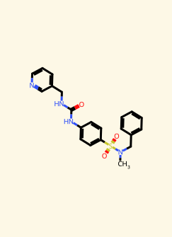 CN(Cc1ccccc1)S(=O)(=O)c1ccc(NC(=O)NCc2cccnc2)cc1